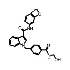 O=C(NCO)c1ccc(Cn2cc(C(=O)Nc3ccc4c(c3)OCO4)c3ccccc32)cc1